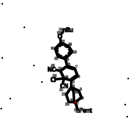 CCCCCC12CCC(C3=CC=C(c4ccc(OCCCC)cc4)C(C#N)C3(Cl)C#N)(CC1)CC2